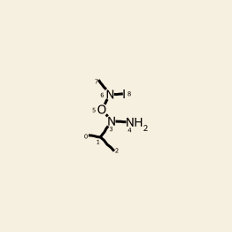 CC(C)N(N)ON(C)I